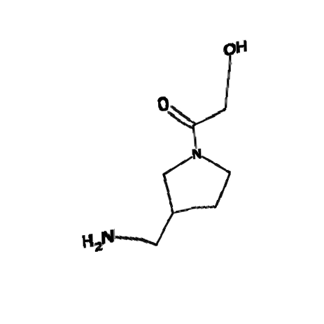 NCC1CCN(C(=O)CO)C1